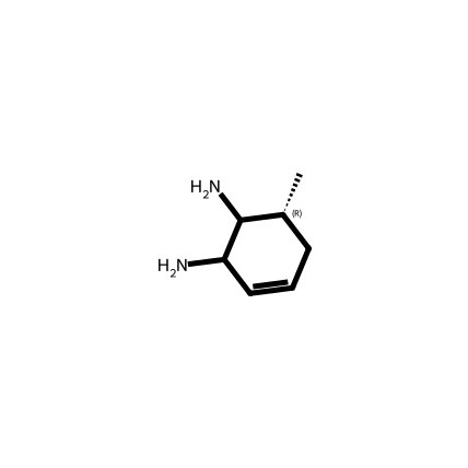 C[C@@H]1CC=CC(N)C1N